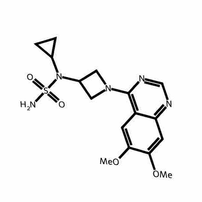 COc1cc2ncnc(N3CC(N(C4CC4)S(N)(=O)=O)C3)c2cc1OC